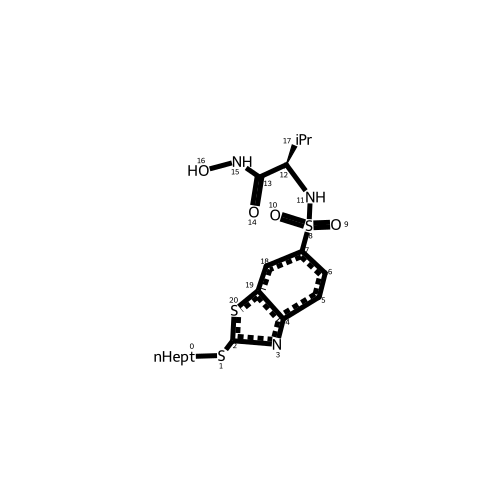 CCCCCCCSc1nc2ccc(S(=O)(=O)N[C@@H](C(=O)NO)C(C)C)cc2s1